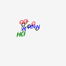 COc1cc2c(c3c1OC(C)(C)C3)C(c1ccc(C(=O)NCc3ccccn3)cc1)=NC(C)(C)C2.Cl.Cl